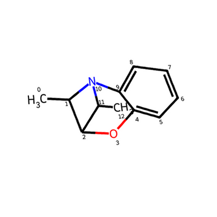 CC1C2Oc3ccccc3N1C2C